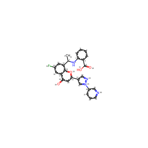 CC(Nc1ccccc1C(=O)O)c1cc(F)cc2c(=O)cc(-c3cnn(-c4cccnc4)c3)oc12